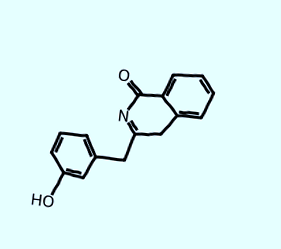 O=C1N=C(Cc2cccc(O)c2)Cc2ccccc21